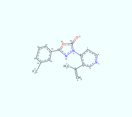 C=C(C)c1cnccc1-n1nc(-c2cccc(C(F)(F)F)c2)oc1=O